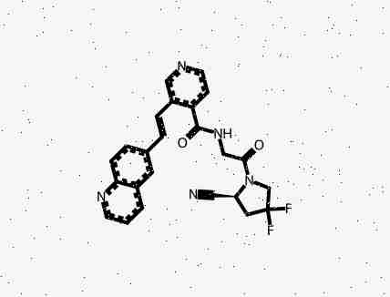 N#C[C@@H]1CC(F)(F)CN1C(=O)CNC(=O)c1ccncc1/C=C/c1ccc2ncccc2c1